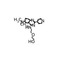 CN(C)c1ccc2nc(-c3ccncc3)nc(NCCOCCO)c2c1